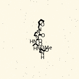 CO[C@@]1(NC(=O)C(C)NC(=O)N2CCN(N=Cc3ccco3)C2=O)CNC1=O